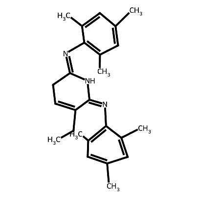 CCC1=CCC(=Nc2c(C)cc(C)cc2C)NC1=Nc1c(C)cc(C)cc1C